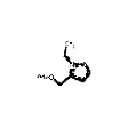 COCc1[c]cnn1CC(F)(F)F